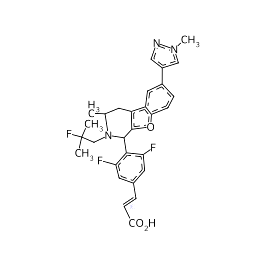 CC1Cc2c(oc3ccc(-c4cnn(C)c4)cc23)C(c2c(F)cc(/C=C/C(=O)O)cc2F)N1CC(C)(C)F